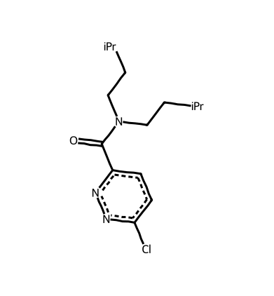 CC(C)CCN(CCC(C)C)C(=O)c1ccc(Cl)nn1